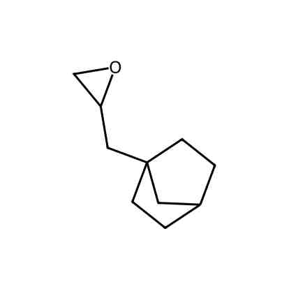 C1CC2(CC3CO3)CCC1C2